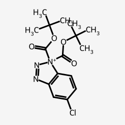 CC(C)(C)OC(=O)[N+]1(C(=O)OC(C)(C)C)N=Nc2cc(Cl)ccc21